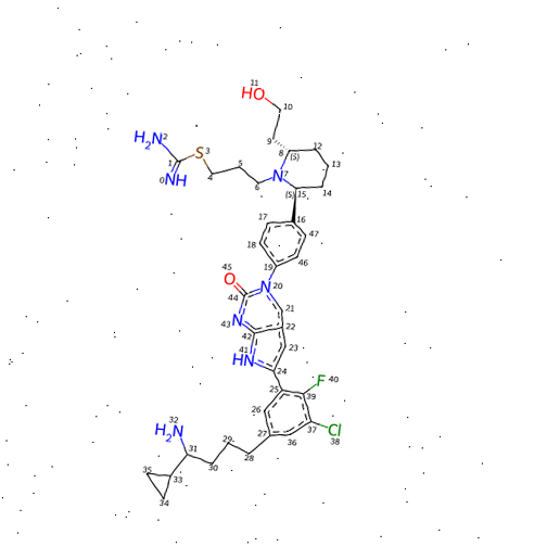 N=C(N)SCCCN1[C@H](CCO)CCC[C@H]1c1ccc(-n2cc3cc(-c4cc(CCCC(N)C5CC5)cc(Cl)c4F)[nH]c3nc2=O)cc1